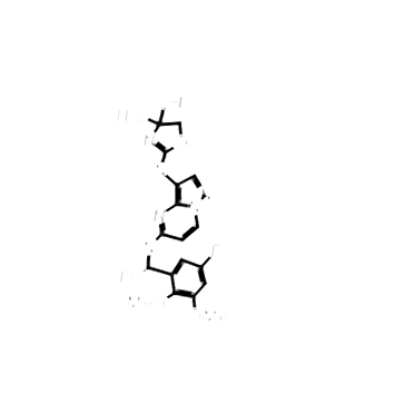 COc1cc(F)cc([C@@H](C)Nc2ccn3ncc(NC4=NC(C)(C)CO4)c3n2)c1OC